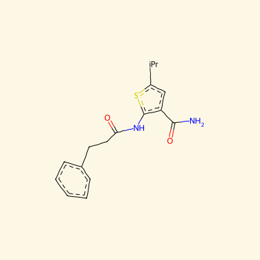 CC(C)c1cc(C(N)=O)c(NC(=O)CCc2ccccc2)s1